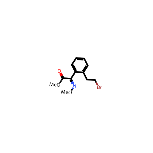 CON=C(C(=O)OC)c1ccccc1CCBr